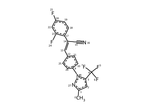 Cc1cc(C(F)(F)F)n(-c2ccc(/C=C(\C#N)c3ccc(F)cc3F)cc2)n1